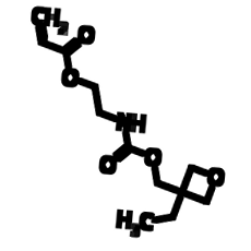 C=CC(=O)OCCNC(=O)OCC1(CC)COC1